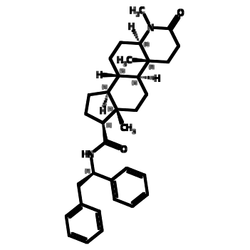 CN1C(=O)CC[C@]2(C)[C@H]3CC[C@]4(C)[C@@H](C(=O)N[C@H](Cc5ccccc5)c5ccccc5)CC[C@H]4[C@@H]3CC[C@@H]12